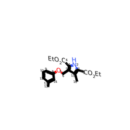 CCOC(=O)c1[nH]c(C(=O)OCC)c(COc2cccc(C)c2)c1C